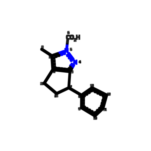 Cc1c2c(nn1C(=O)O)C(c1ccccc1)CC2